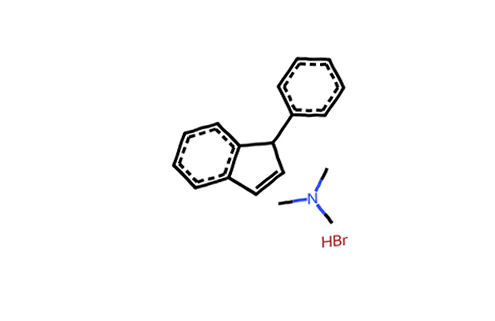 Br.C1=CC(c2ccccc2)c2ccccc21.CN(C)C